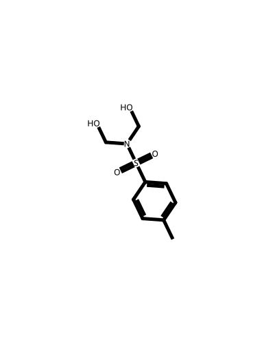 Cc1ccc(S(=O)(=O)N(CO)CO)cc1